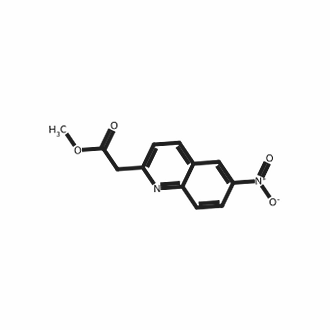 COC(=O)Cc1ccc2cc([N+](=O)[O-])ccc2n1